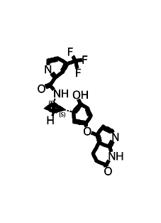 O=C1CCc2c(Oc3ccc(O)c([C@@H]4[C@@H]5C[C@@]45NC(=O)c4cc(C(F)(F)F)ccn4)c3)ccnc2N1